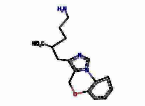 NCCCC(Cc1ncn2c1COc1ccccc1-2)C(=O)O